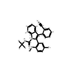 COc1ccc(F)cc1-c1c(-c2ccccc2C#N)c2cccnc2n1C(=O)OC(C)(C)C